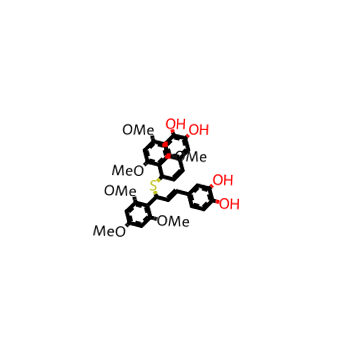 COc1cc(OC)c(C(C=Cc2ccc(O)c(O)c2)SC(C=Cc2ccc(O)c(O)c2)c2c(OC)cc(OC)cc2OC)c(OC)c1